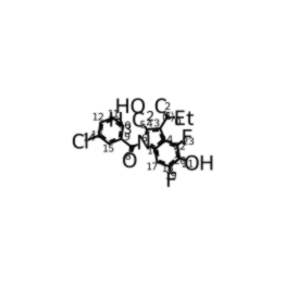 CC[C@H](C(=O)O)c1c(C)n(C(=O)c2cccc(Cl)c2)c2cc(F)c(O)c(F)c12